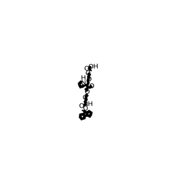 O=CC(COCCOCCNC(=O)OCC1c2ccccc2-c2ccccc21)C(CCOCCOCC(=O)O)C1=CC=CC=CN1